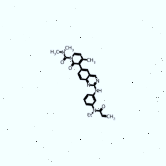 C=CC(=O)N(CC)c1cccc(Nc2ncc3cc(-c4c(C)ccn(C(=O)N(C)C)c4=O)ccc3n2)c1